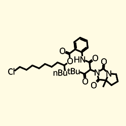 CCCCC(CCCCCCCCl)OC(=O)c1ccccc1NC(=O)C(C(=O)C(C)(C)C)N1C(=O)N2CCCC2(C)C1=O